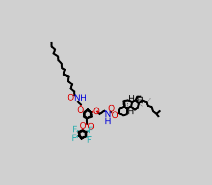 CCCCCCCCCCCCCCCC(=O)NCCOc1cc(OCCNC(=O)O[C@H]2CC[C@@]3(C)C(=CC[C@H]4[C@@H]5CC[C@H]([C@H](C)CCCC(C)C)[C@@]5(C)CC[C@@H]43)C2)cc(C(=O)Oc2c(F)c(F)cc(F)c2F)c1